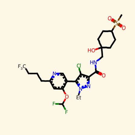 CCn1nc(C(=O)NCC2(O)CCC(S(C)(=O)=O)CC2)c(Cl)c1-c1cnc(CCCC(F)(F)F)cc1OC(F)F